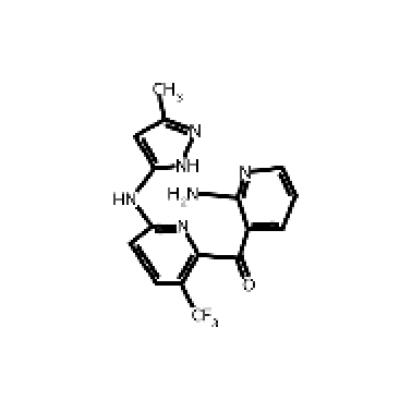 Cc1cc(Nc2ccc(C(F)(F)F)c(C(=O)c3cccnc3N)n2)[nH]n1